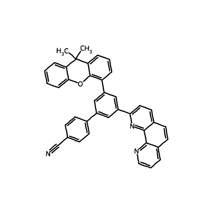 CC1(C)c2ccccc2Oc2c(-c3cc(-c4ccc(C#N)cc4)cc(-c4ccc5ccc6cccnc6c5n4)c3)cccc21